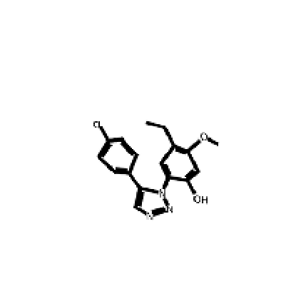 CCc1cc(-n2nncc2-c2ccc(Cl)cc2)c(O)cc1OC